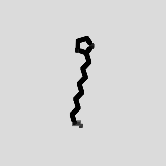 PCCCCCCCCC1OCCO1